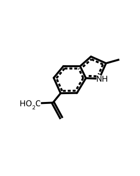 C=C(C(=O)O)c1ccc2cc(C)[nH]c2c1